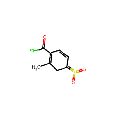 CC1=C(C(=O)Cl)C=CC(=S(=O)=O)C1